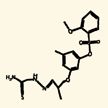 COc1ccccc1S(=O)(=O)Oc1cc(C)cc(OC(C)C=NNC(N)=S)c1